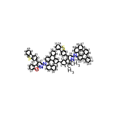 CC1(C)c2ccc(-c3ccc4c(c3)c3ccccc3c3ccc5c(c34)c3c4ccccc4ccc3n5-c3cc(-c4ccc5c(c4)sc4ccccc45)c4c(n3)oc3ccccc34)cc2-c2c(-c3ccc4c(c3)sc3ccccc34)cc(-n3c4ccc5ccccc5c4c4c5c6ccccc6c6ccccc6c5ccc43)nc21